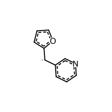 [CH](c1cccnc1)c1ccco1